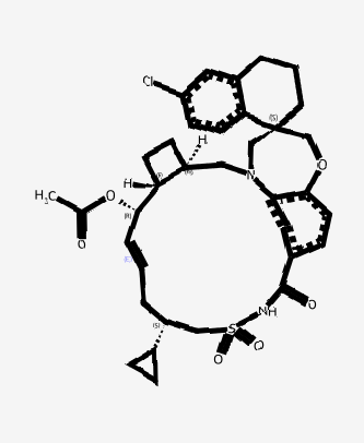 CC(=O)O[C@H]1/C=C/C[C@@H](C2CC2)CS(=O)(=O)NC(=O)c2ccc3c(c2)N(C[C@@H]2CC[C@H]21)C[C@@]1(CCCc2cc(Cl)ccc21)CO3